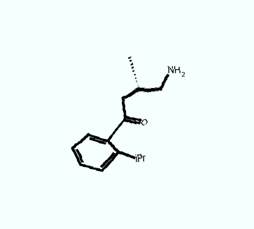 CC(C)c1ccccc1C(=O)C[C@H](C)CN